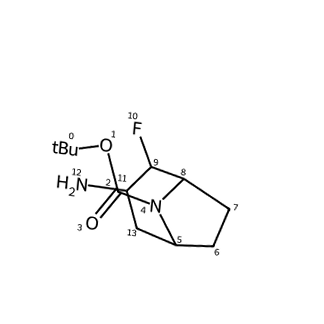 CC(C)(C)OC(=O)N1C2CCC1C(F)C(N)C2